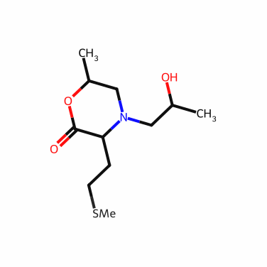 CSCCC1C(=O)OC(C)CN1CC(C)O